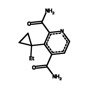 CCC1(c2c(C(N)=O)ccnc2C(N)=O)CC1